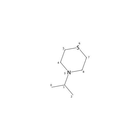 CC(C)N1C[CH]SCC1